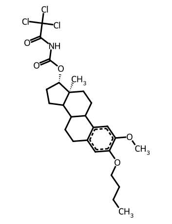 CCCCOc1cc2c(cc1OC)C1CC[C@@]3(C)C(CC[C@@H]3OC(=O)NC(=O)C(Cl)(Cl)Cl)C1CC2